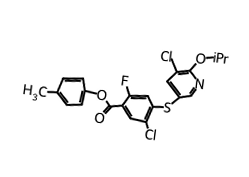 Cc1ccc(OC(=O)c2cc(Cl)c(Sc3cnc(OC(C)C)c(Cl)c3)cc2F)cc1